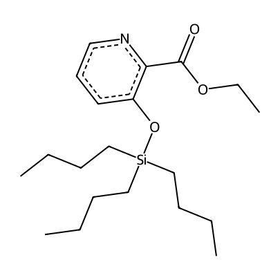 CCCC[Si](CCCC)(CCCC)Oc1cccnc1C(=O)OCC